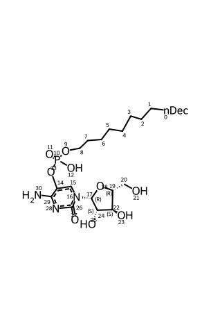 CCCCCCCCCCCCCCCCCCOP(=O)(O)Oc1cn([C@@H]2O[C@H](CO)[C@@H](O)[C@@H]2O)c(=O)nc1N